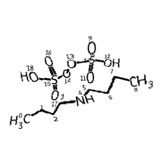 CCCCNCCCC.O=S(=O)(O)OOS(=O)(=O)O